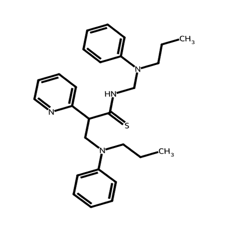 CCCN(CNC(=S)C(CN(CCC)c1ccccc1)c1ccccn1)c1ccccc1